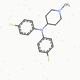 CN1CCC(N(c2ccc(F)cc2)c2ccc(F)cc2)CC1